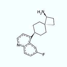 N[C@H]1CC[C@]12CC[C@H](c1ccnc3ccc(F)cc31)CC2